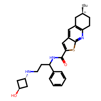 CC(C)(C)[C@H]1CCc2nc3sc(C(=O)NC(CCN[C@H]4C[C@H](O)C4)c4ccccc4)cc3cc2C1